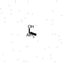 C=CO.[AlH3]